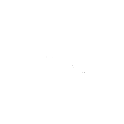 CCOc1ccc(OC[C@H]2CC[C@H](C=CCOC)CC2)c(F)c1F